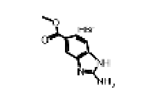 Br.COC(=O)c1ccc2[nH]c(N)nc2c1